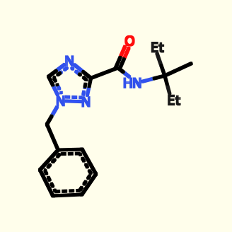 CCC(C)(CC)NC(=O)c1ncn(Cc2ccccc2)n1